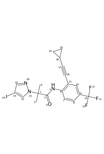 CC(C)(C(=O)Nc1ccc(C(F)(F)F)cc1C#CC1CC1)n1cc(I)cn1